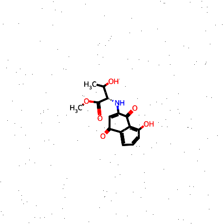 COC(=O)[C@@H](NC1=CC(=O)c2cccc(O)c2C1=O)C(C)O